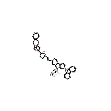 CCC1(CC)c2cc(/C=C/C3=CCC(C4=CC5C6c7ccccc7C(c7ccccc76)C5C=C4)S3)ccc2-c2ccc(-n3c4ccccc4c4ccccc43)cc21